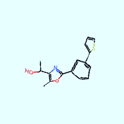 Cc1oc(-c2cccc(-c3cccs3)c2)nc1C(C)O